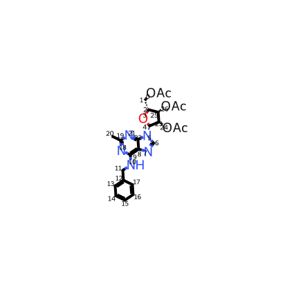 CC(=O)OC[C@H]1O[C@@H](n2cnc3c(NCc4ccccc4)nc(C)nc32)[C@H](OC(C)=O)[C@@H]1OC(C)=O